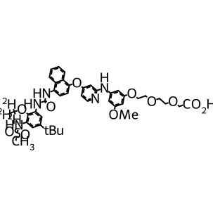 [2H]C([2H])([2H])Oc1c(NC(=O)Nc2ccc(Oc3ccnc(Nc4cc(OC)cc(OCCOCCOCC(=O)O)c4)c3)c3ccccc23)cc(C(C)(C)C)cc1NS(C)(=O)=O